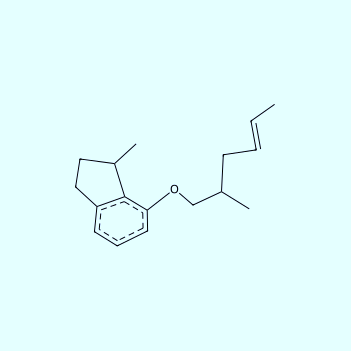 CC=CCC(C)COc1cccc2c1C(C)CC2